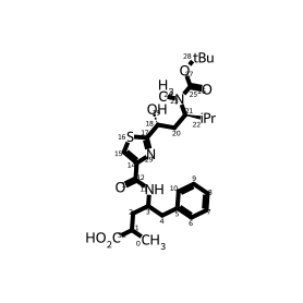 CC(CC(Cc1ccccc1)NC(=O)c1csc([C@H](O)C[C@H](C(C)C)N(C)C(=O)OC(C)(C)C)n1)C(=O)O